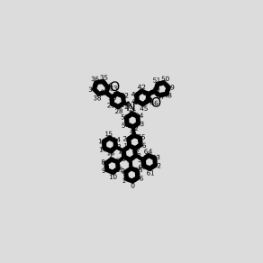 c1ccc(-c2c(-c3ccccc3)c(-c3ccccc3)c3cc(-c4ccc(N(c5ccc6c(c5)oc5ccccc56)c5ccc6c(c5)oc5ccccc56)cc4)ccc3c2-c2ccccc2)cc1